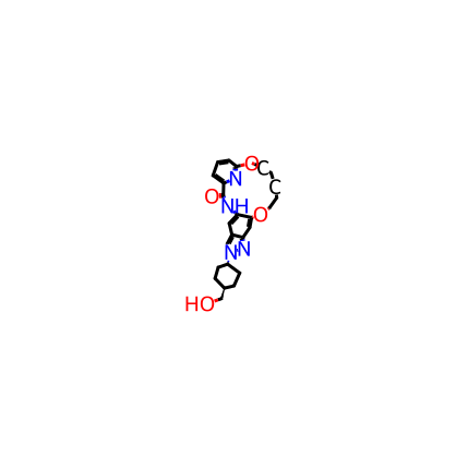 O=C1Nc2cc3cn([C@H]4CC[C@H](CO)CC4)nc3cc2OCCCCCOc2cccc1n2